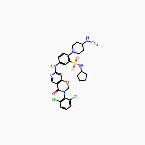 CNC1CCN(c2ccc(Nc3ncc4c(n3)OCN(c3c(Cl)cccc3Cl)C4=O)cc2S(=O)(=O)NC2CCCC2)CC1